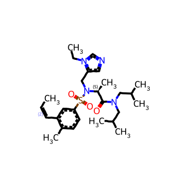 C/C=C\c1cc(S(=O)(=O)N(Cc2cncn2CC)[C@@H](C)C(=O)N(CC(C)C)CC(C)C)ccc1C